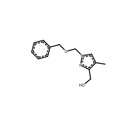 Cc1cn(COCc2ccccc2)nc1CO